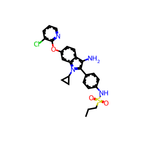 CCCS(=O)(=O)Nc1ccc(-c2c(N)c3ccc(Oc4ncccc4Cl)cc3n2C2CC2)cc1